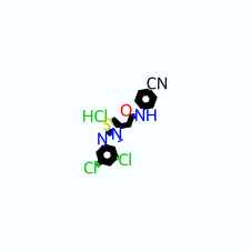 Cl.Cn1c(CC(=O)Nc2ccc(C#N)cc2)cs/c1=N/c1cc(Cl)cc(Cl)c1